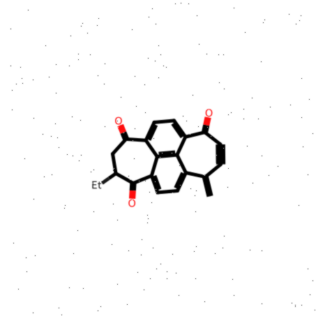 C=c1c#cc(=O)c2ccc3c4c(ccc1c42)C(=O)C(CC)CC3=O